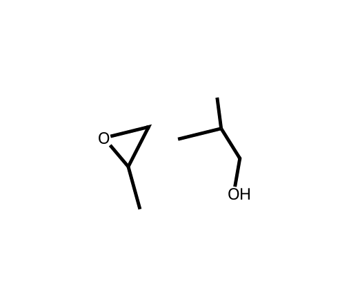 CC(C)CO.CC1CO1